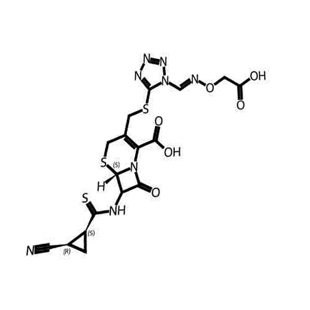 N#C[C@@H]1C[C@@H]1C(=S)NC1C(=O)N2C(C(=O)O)=C(CSc3nnnn3C=NOCC(=O)O)CS[C@@H]12